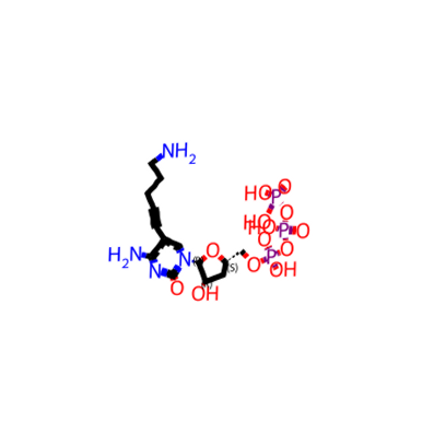 NCCCC#Cc1cn([C@@H]2O[C@H](COP(=O)(O)OP(=O)(O)OP(=O)(O)O)C[C@H]2O)c(=O)nc1N